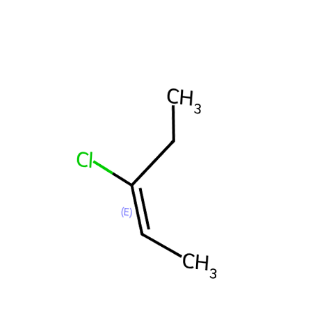 C/C=C(/Cl)CC